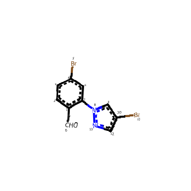 O=Cc1ccc(Br)cc1-n1cc(Br)cn1